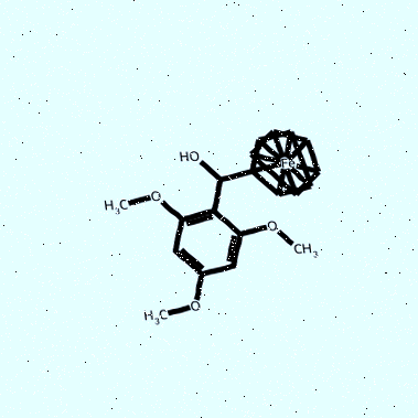 COc1cc(OC)c(C(O)[C]23[CH]4[CH]5[CH]6[CH]2[Fe]56432789[CH]3[CH]2[CH]7[CH]8[CH]39)c(OC)c1